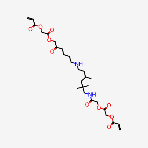 C=CC(=O)OCC(=O)OCC(=O)CCCCNCCC(C)CC(C)(C)CNC(=O)COC(=O)COC(=O)C=C